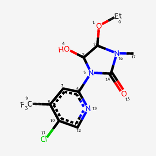 CCOC1C(O)N(c2cc(C(F)(F)F)c(Cl)cn2)C(=O)N1C